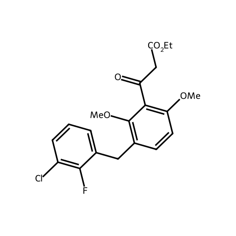 CCOC(=O)CC(=O)c1c(OC)ccc(Cc2cccc(Cl)c2F)c1OC